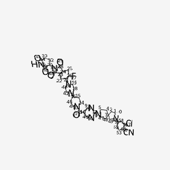 C[C@H]1CC2(CCN(c3ncc(C(=O)N4CCC(N5CCN(c6cc7c(cc6F)C(=O)N(C6CCC(=O)NC6=O)C7=O)CC5)CC4)cn3)CC2)CN1c1ccc(C#N)c(Cl)c1